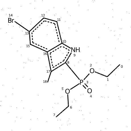 CCOP(=O)(OCC)c1[nH]c2ccc(Br)cc2c1C